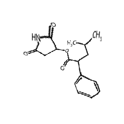 CC(C)CC(C(=O)OC1CC(=O)NC1=O)c1ccccc1